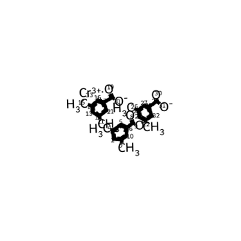 Cc1cc(C)cc(C(=O)[O-])c1.Cc1cc(C)cc(C(=O)[O-])c1.Cc1cc(C)cc(C(=O)[O-])c1.[Cr+3]